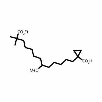 CCOC(=O)C(C)(C)CCCCCC(CCCCCC1(C(=O)O)CC1)OC